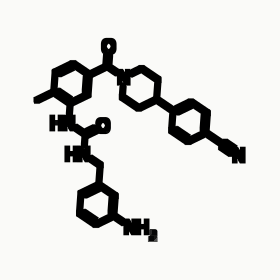 Cc1ccc(C(=O)N2CCC(c3ccc(C#N)cc3)CC2)cc1NC(=O)NCc1cccc(N)c1